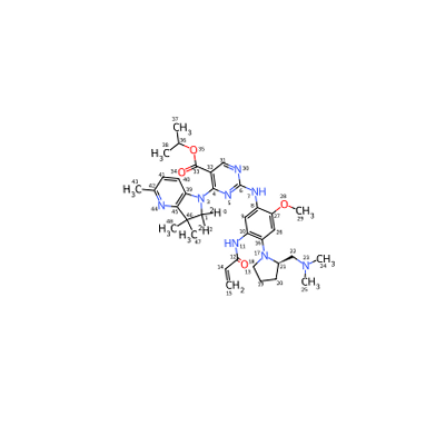 [2H]C1([2H])N(c2nc(Nc3cc(NC(=O)C=C)c(N4CCC[C@@H]4CN(C)C)cc3OC)ncc2C(=O)OC(C)C)c2ccc(C)nc2C1(C)C